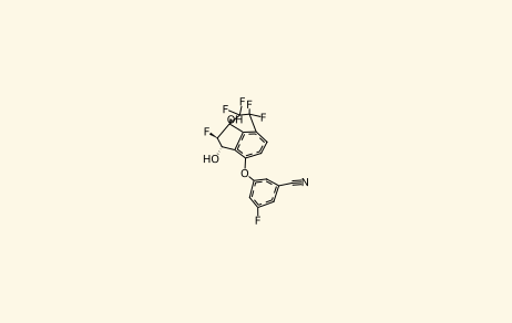 N#Cc1cc(F)cc(Oc2ccc3c4c2[C@H](O)[C@@H](F)[C@]4(O)C(F)(F)C3(F)F)c1